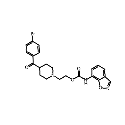 O=C(Nc1cccc2cnoc12)OCCN1CCC(C(=O)c2ccc(Br)cc2)CC1